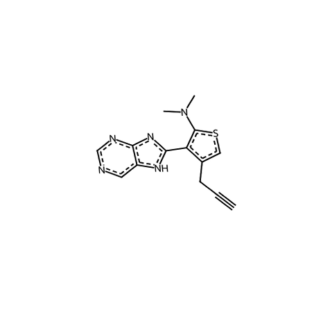 C#CCc1csc(N(C)C)c1-c1nc2ncncc2[nH]1